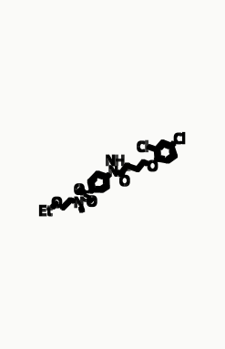 CCOCCN(C)S(=O)(=O)c1ccc(N(N)C(=O)CCCOc2ccc(Cl)cc2Cl)cc1